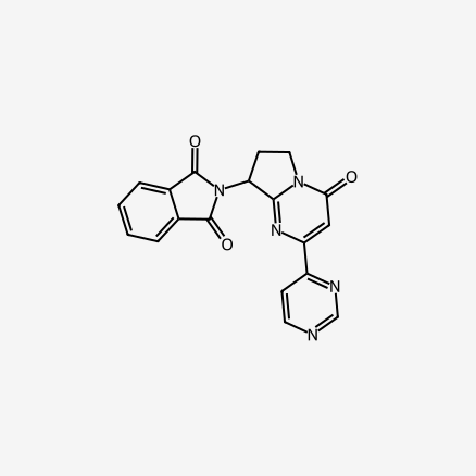 O=C1c2ccccc2C(=O)N1C1CCn2c1nc(-c1ccncn1)cc2=O